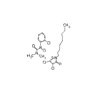 CCCCCCCCn1sc(Cl)c(Cl)c1=O.CN(C)C(=O)N(Cl)c1ccccc1Cl